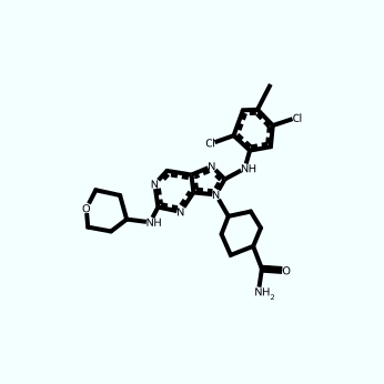 Cc1cc(Cl)c(Nc2nc3cnc(NC4CCOCC4)nc3n2C2CCC(C(N)=O)CC2)cc1Cl